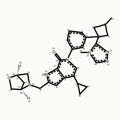 CC1CC(c2cccc(-n3cc(C4CC4)c4cc(CN5C[C@H]6C[C@@H]5CO6)[nH]c4c3=O)c2)(c2nncn2C)C1